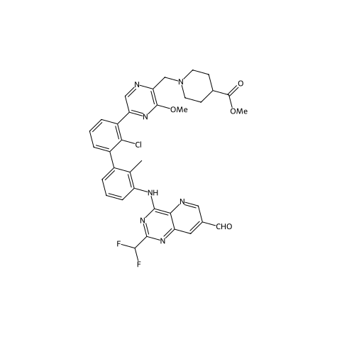 COC(=O)C1CCN(Cc2ncc(-c3cccc(-c4cccc(Nc5nc(C(F)F)nc6cc(C=O)cnc56)c4C)c3Cl)nc2OC)CC1